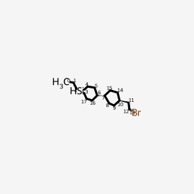 CCC[SiH]1CCC([C@H]2CC[C@H](CCBr)CC2)CC1